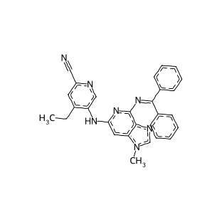 CCc1cc(C#N)ncc1Nc1cc2c(ncn2C)c(N=C(c2ccccc2)c2ccccc2)n1